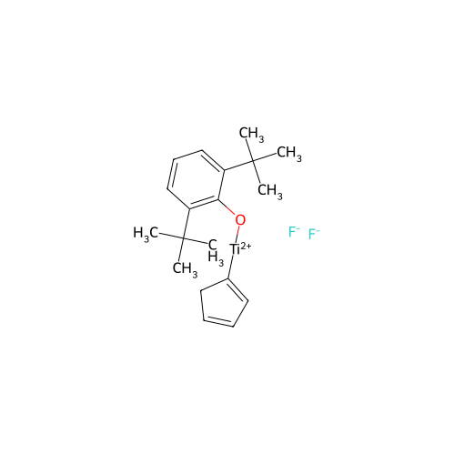 CC(C)(C)c1cccc(C(C)(C)C)c1[O][Ti+2][C]1=CC=CC1.[F-].[F-]